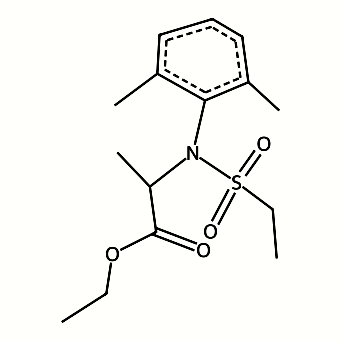 CCOC(=O)C(C)N(c1c(C)cccc1C)S(=O)(=O)CC